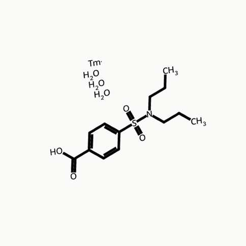 CCCN(CCC)S(=O)(=O)c1ccc(C(=O)O)cc1.O.O.O.[Tm]